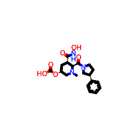 CN1C[C@H](OC(=O)O)C[C@H](C(=O)NO)[C@H]1C(=O)N1CC[C@H](c2ccccc2)C1